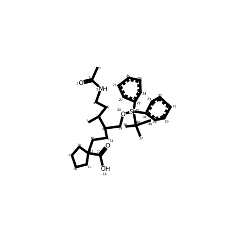 CC(=O)NCCC(C)C(CCC1(C(=O)O)CCCC1)CO[Si](c1ccccc1)(c1ccccc1)C(C)(C)C